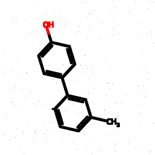 Cc1cc[c]c(-c2ccc(O)cc2)c1